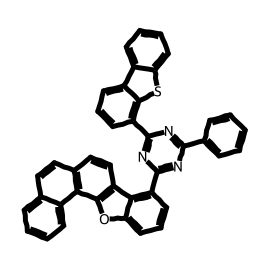 c1ccc(-c2nc(-c3cccc4c3sc3ccccc34)nc(-c3cccc4oc5c(ccc6ccc7ccccc7c65)c34)n2)cc1